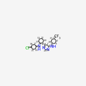 FC(F)(F)c1ccc(Nc2cc(-c3ccccc3Nc3ccc(Cl)cc3)ncn2)cc1